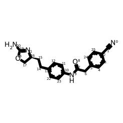 N#Cc1ccc(CC(=O)Nc2ccc(CC[C@H]3COC(N)=N3)cc2)cc1